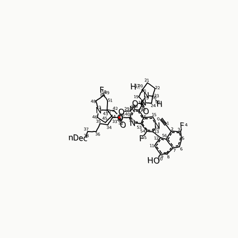 C#Cc1c(F)ccc2cc(O)cc(-c3ncc4c(N5C[C@H]6CC[C@@H](C5)N6C(=O)OCOC(=O)CCCCCCCCCCCCCCC)nc(OC[C@@]56CCCN5C[C@H](F)C6)nc4c3F)c12